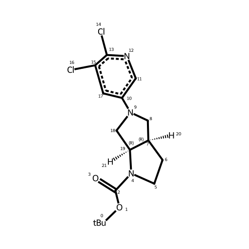 CC(C)(C)OC(=O)N1CC[C@@H]2CN(c3cnc(Cl)c(Cl)c3)C[C@@H]21